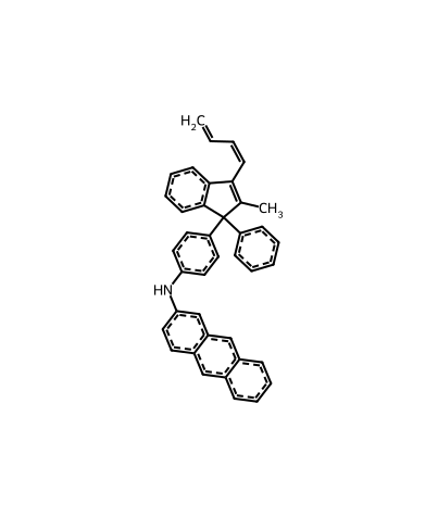 C=C/C=C\C1=C(C)C(c2ccccc2)(c2ccc(Nc3ccc4cc5ccccc5cc4c3)cc2)c2ccccc21